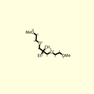 CCC(C)(COCCOC)COCCOC